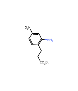 CCOC(=O)CCc1ccc([N+](=O)[O-])cc1N